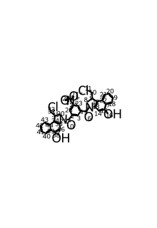 O=C(c1cc(C(=O)N2CC(CCl)c3c2cc(O)c2ccccc32)cc([N+](=O)[O-])c1)N1CC(CCl)c2c1cc(O)c1ccccc21